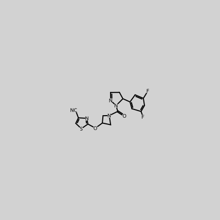 N#Cc1csc(OC2CN(C(=O)N3N=CCC3c3cc(F)cc(F)c3)C2)n1